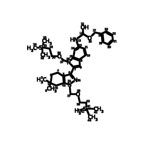 CC1(C)CCc2c(-c3cc4ccc(NC(O)OCc5ccccc5)cc4n3COCC[Si](C)(C)C)nn(COCC[Si](C)(C)C)c2C1